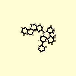 c1ccc(-c2ccc(N(c3ccc4ccc5c6ccccc6ccc5c4c3)c3ccnc4oc5ccccc5c34)cc2)cc1